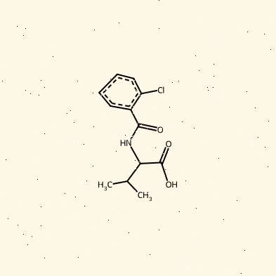 CC(C)C(NC(=O)c1ccccc1Cl)C(=O)O